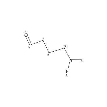 CC(F)CCCC=O